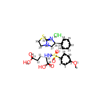 COc1ccc(S(=O)(=O)N[C@@H](CCC(=O)O)C(=O)O)cc1.Cl.c1ccc([C@H]2CN3CCSC3=N2)cc1